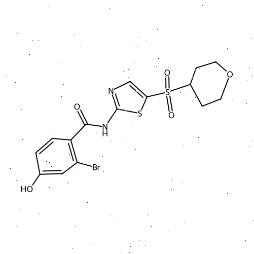 O=C(Nc1ncc(S(=O)(=O)C2CCOCC2)s1)c1ccc(O)cc1Br